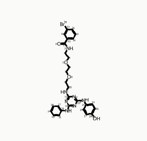 O=C(NCCOCCOCCNc1nc(Nc2ccccc2)nc(Nc2ccc(O)cc2)n1)c1cccc(Br)c1